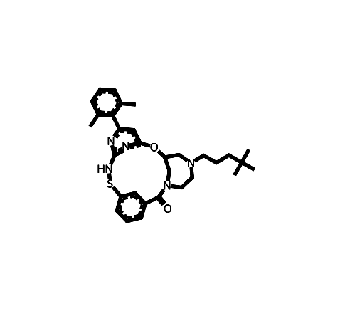 Cc1cccc(C)c1-c1cc2nc(n1)NSc1cccc(c1)C(=O)N1CCN(CCCC(C)(C)C)CC(C1)O2